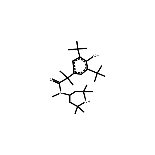 CN(C(=O)C(C)(C)c1cc(C(C)(C)C)c(O)c(C(C)(C)C)c1)C1CC(C)(C)NC(C)(C)C1